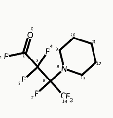 O=C(F)C(F)(F)C(F)(N1CCCCC1)C(F)(F)F